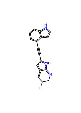 FC1C=c2cc(C#Cc3cccc4[nH]ccc34)[nH]c2=NC1